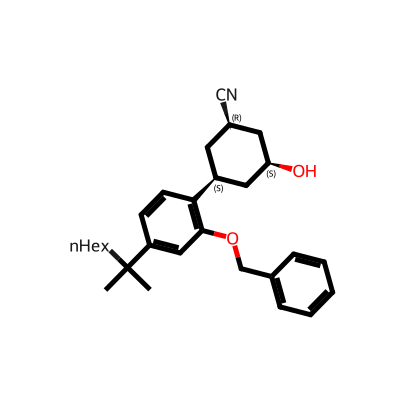 CCCCCCC(C)(C)c1ccc([C@@H]2C[C@H](O)C[C@H](C#N)C2)c(OCc2ccccc2)c1